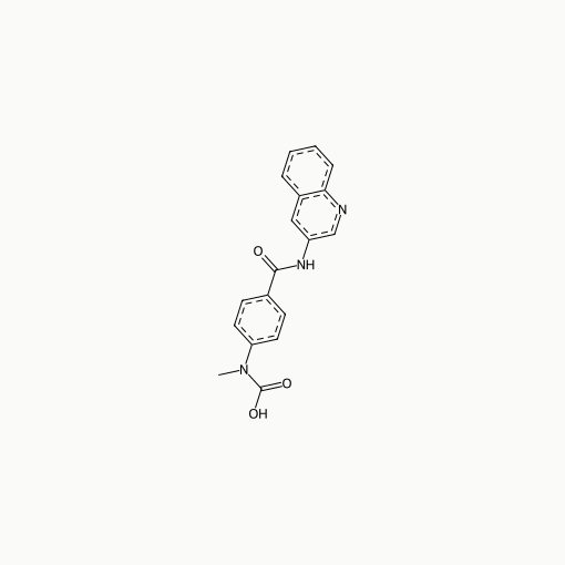 CN(C(=O)O)c1ccc(C(=O)Nc2cnc3ccccc3c2)cc1